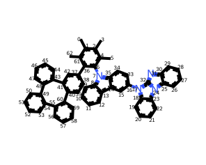 Cc1c(C)c(C)c(-n2c3ccccc3c3cc(-n4c5ccccc5n5c6ccccc6nc45)ccc32)c(-c2ccc3c(c2)-c2ccccc2-c2ccccc2-c2ccccc2-3)c1C